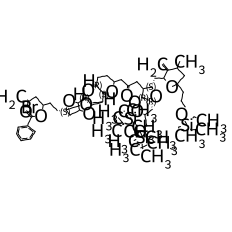 C=C(Br)CC(CC[C@@]12CC3OC4C(O1)[C@H]1OC(CC(=O)CC5[C@H](CC6OC(CCCO[Si](CC)(CC)CC)CC(C)C6=C)O[C@H](CC(CO[Si](C)(C)C(C)(C)C)O[Si](C)(C)C(C)(C)C)[C@@H]5OC)CC[C@H]1O[C@H]4C3O2)OC(=O)c1ccccc1